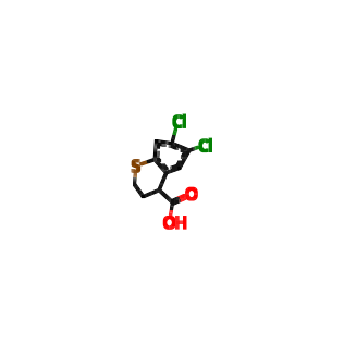 O=C(O)C1CCSc2cc(Cl)c(Cl)cc21